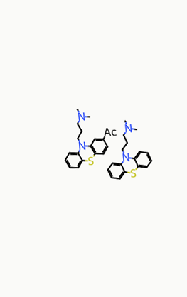 CC(=O)c1ccc2c(c1)N(CCCN(C)C)c1ccccc1S2.CN(C)CCCN1c2ccccc2Sc2ccccc21